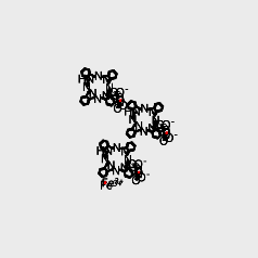 O=S(=O)([O-])c1ccc2c3nc4nc(nc5[nH]c(nc6nc(nc([nH]3)c2c1S(=O)(=O)[O-])-c1ccccc1-6)c1ccccc51)-c1ccccc1-4.O=S(=O)([O-])c1ccc2c3nc4nc(nc5[nH]c(nc6nc(nc([nH]3)c2c1S(=O)(=O)[O-])-c1ccccc1-6)c1ccccc51)-c1ccccc1-4.O=S(=O)([O-])c1ccc2c3nc4nc(nc5[nH]c(nc6nc(nc([nH]3)c2c1S(=O)(=O)[O-])-c1ccccc1-6)c1ccccc51)-c1ccccc1-4.[Fe+3].[Fe+3]